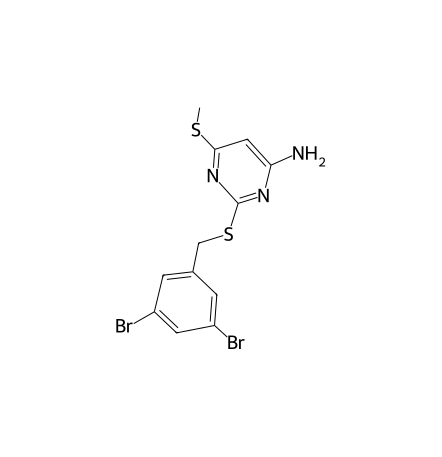 CSc1cc(N)nc(SCc2cc(Br)cc(Br)c2)n1